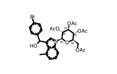 CC(=O)OC[C@H]1O[C@@H](n2cc(C(O)c3ccc(Br)cc3)c3c(C)cccc32)[C@H](OC(C)=O)[C@@H](OC(C)=O)[C@@H]1OC(C)=O